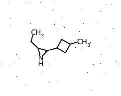 CCC1NC1C1CC(C)C1